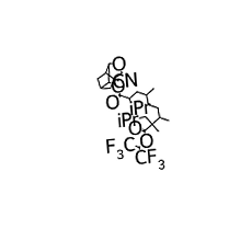 CC(C)CC(C)(C(=O)OC(C(F)(F)F)C(F)(F)F)C(C)CCC(C)CC(C(=O)OC1C2CC3C1OCC3(C#N)C2)C(C)C